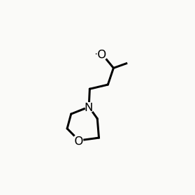 CC([O])CCN1CCOCC1